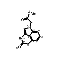 COC(=O)Cn1cc2c3c(cccc31)CC(=O)N2